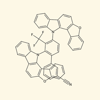 N#Cc1cccc(-c2ccc(-n3c4ccccc4c4ccc5oc6ccccc6c5c43)c(C(F)(F)F)c2-n2c3ccccc3c3ccc4oc5ccccc5c4c32)c1